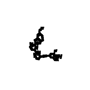 FCc1ccc2c(c1)CN(c1nccc(-c3nccc(C#Cc4cc(F)c5[nH]ncc5c4)n3)n1)C2